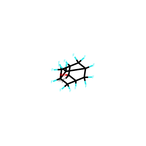 CC1(O)C2(F)C(F)(F)C3(F)C(F)(F)C1(F)C(F)(F)C(F)(C2(F)F)C3(F)F